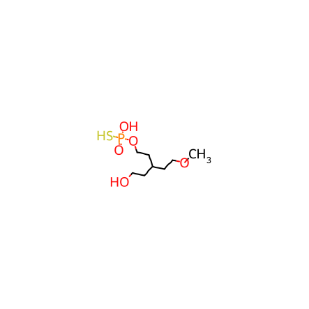 COCCC(CCO)CCOP(=O)(O)S